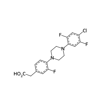 O=C(O)Cc1ccc(N2CCN(c3cc(F)c(Cl)cc3F)CC2)c(F)c1